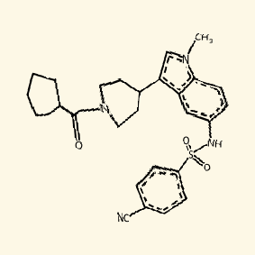 Cn1cc(C2CCN(C(=O)C3CCCC3)CC2)c2cc(NS(=O)(=O)c3ccc(C#N)cc3)ccc21